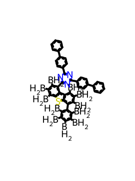 Bc1c(B)c(B)c(-c2c(B)c(B)c(B)c3c2sc2c(B)c(B)c(B)c(-c4nc(-c5ccc(-c6ccccc6)cc5)nc(-c5ccc(-c6ccccc6)cc5)n4)c23)c(B)c1B